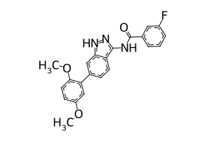 COc1ccc(OC)c(-c2ccc3c(NC(=O)c4cccc(F)c4)n[nH]c3c2)c1